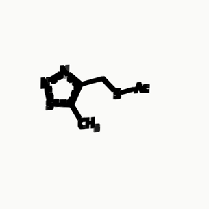 CC(=O)SCc1nnsc1C